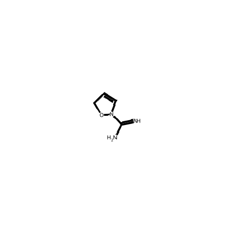 N=C(N)N1C=CCO1